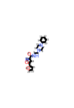 O=C(NCCN1CCN(c2ccccc2)CC1)c1cc(-c2ccco2)on1